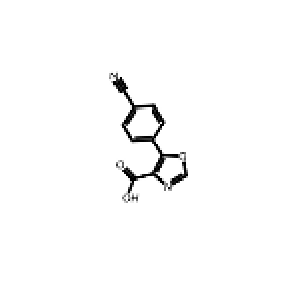 N#Cc1ccc(-c2ocnc2C(=O)O)cc1